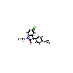 O=C(O)N1C(=O)C(c2ccc([N+](=O)[O-])cc2)c2cc(Cl)ccc21